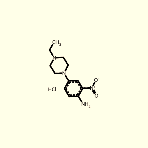 CCN1CCN(c2ccc(N)c([N+](=O)[O-])c2)CC1.Cl